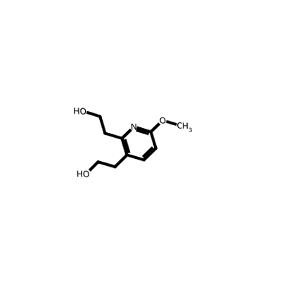 COc1ccc(CCO)c(CCO)n1